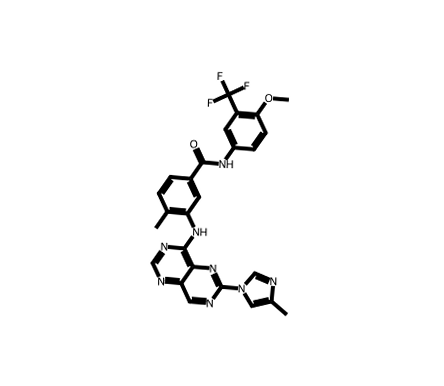 COc1ccc(NC(=O)c2ccc(C)c(Nc3ncnc4cnc(-n5cnc(C)c5)nc34)c2)cc1C(F)(F)F